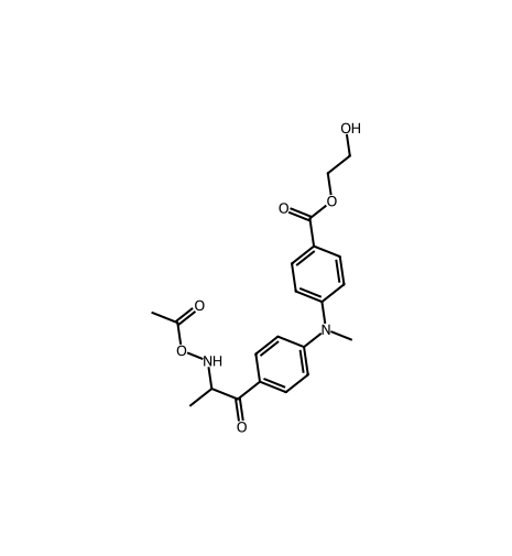 CC(=O)ONC(C)C(=O)c1ccc(N(C)c2ccc(C(=O)OCCO)cc2)cc1